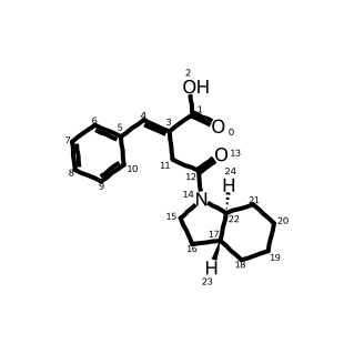 O=C(O)/C(=C/c1ccccc1)CC(=O)N1CC[C@H]2CCCC[C@@H]21